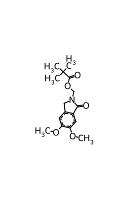 COc1cc2c(cc1OC)C(=O)N(COC(=O)C(C)(C)C)C2